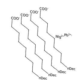 CCCCCCCCCCCCCCCCCC(=O)[O-].CCCCCCCCCCCCCCCCCC(=O)[O-].CCCCCCCCCCCCCCCCCC(=O)[O-].CCCCCCCCCCCCCCCCCC(=O)[O-].[Mg+2].[Pb+2]